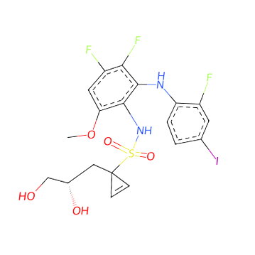 COc1cc(F)c(F)c(Nc2ccc(I)cc2F)c1NS(=O)(=O)C1(C[C@H](O)CO)C=C1